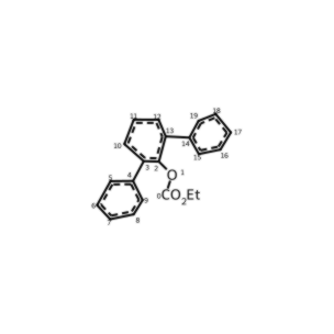 CCOC(=O)Oc1c(-c2ccccc2)cccc1-c1ccccc1